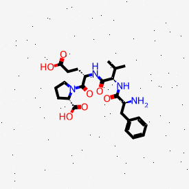 CC(C)[C@H](NC(=O)[C@@H](N)Cc1ccccc1)C(=O)N[C@@H](CCC(=O)O)C(=O)N1CCC[C@H]1C(=O)O